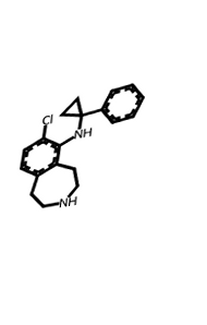 Clc1ccc2c(c1NC1(c3ccccc3)CC1)CCNCC2